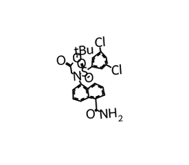 CC(C)(C)OC(=O)CN(c1cccc2c(C(N)=O)cccc12)S(=O)(=O)c1cc(Cl)cc(Cl)c1